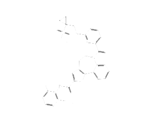 Cc1cccc(F)c1NC(=O)c1cc2c(s1)-c1ccccc1N(C(=O)c1cccc(NCC3(S(C)(=O)=O)CC3)n1)CC2